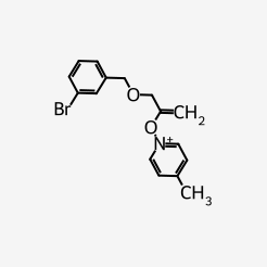 C=C(COCc1cccc(Br)c1)O[n+]1ccc(C)cc1